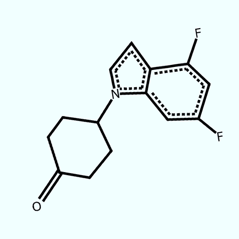 O=C1CCC(n2ccc3c(F)cc(F)cc32)CC1